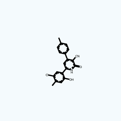 Cc1ccc(-c2cc(-c3cc(Cl)c(C)cc3O)[nH]c(=O)c2C#N)cc1